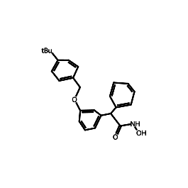 CC(C)(C)c1ccc(COc2cccc(C(C(=O)NO)c3ccccc3)c2)cc1